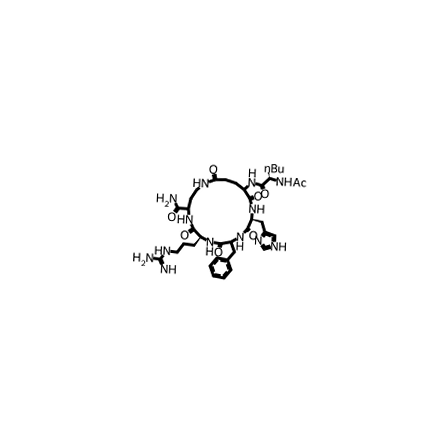 CCCC[C@H](NC(C)=O)C(=O)NC1CCC(=O)NCCC(C(N)=O)NC(=O)[C@H](CCCNC(=N)N)NC(=O)C(Cc2ccccc2)NC(=O)[C@H](Cc2c[nH]cn2)NC1=O